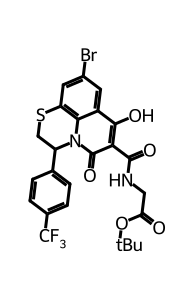 CC(C)(C)OC(=O)CNC(=O)c1c(O)c2cc(Br)cc3c2n(c1=O)C(c1ccc(C(F)(F)F)cc1)CS3